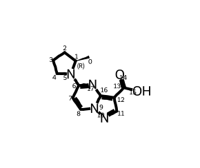 C[C@@H]1CCCN1c1ccn2ncc(C(=O)O)c2n1